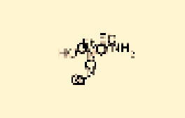 CCc1c(C(N)=O)ccc(N(c2cccc(O)c2)C2CCN(Cc3ccoc3)CC2)c1CC